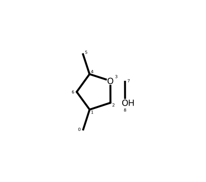 CC1COC(C)C1.CO